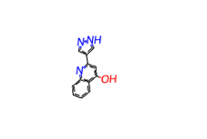 Oc1cc(-c2cn[nH]c2)nc2ccccc12